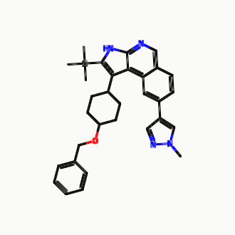 Cn1cc(-c2ccc3cnc4[nH]c([Si](C)(C)C)c(C5CCC(OCc6ccccc6)CC5)c4c3c2)cn1